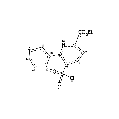 CCOC(=O)c1ccc(S(=O)(=O)Cl)c(-c2ccccc2)n1